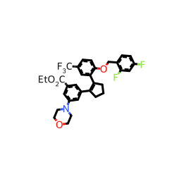 CCOC(=O)c1cc(C2=C(c3cc(C(F)(F)F)ccc3OCc3ccc(F)cc3F)CCC2)cc(N2CCOCC2)c1